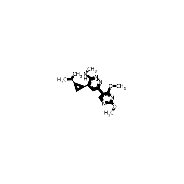 CNc1nnc(-c2cnc(OC)nc2OC)cc1[C@H]1C[C@@H]1C(C)C